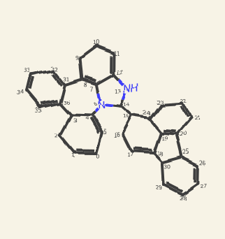 C1=CCC2C(=C1)N1C3=C(CCC=C3NC1C1CC=C3C4=C(C=CCC41)C1C=CC=CC31)c1ccccc12